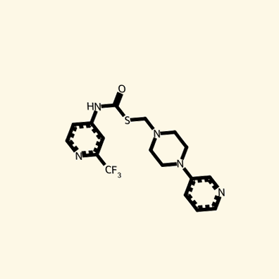 O=C(Nc1ccnc(C(F)(F)F)c1)SCN1CCN(c2cccnc2)CC1